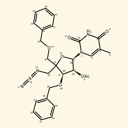 CC(=O)O[C@@H]1[C@H](n2cc(C)c(=O)[nH]c2=O)OC(CN=[N+]=[N-])(COCc2ccccc2)[C@@H]1OCc1ccccc1